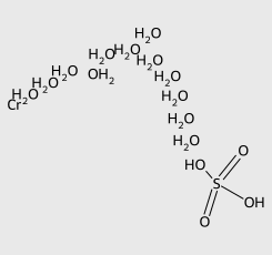 O.O.O.O.O.O.O.O.O.O.O.O.O=S(=O)(O)O.[Cr]